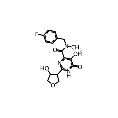 CN(Cc1ccc(F)cc1)C(=O)c1nc(C2COCC2O)[nH]c(=O)c1O